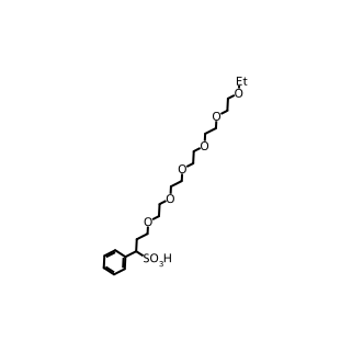 CCOCCOCCOCCOCCOCCOCCC(c1ccccc1)S(=O)(=O)O